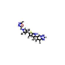 Cc1nnc(CN2C[C@@H]3C[C@H]2C[C@H]3c2sc3[nH]c(-c4cn5ncnc5c(C)c4C)c(C(C)C)c3c2C)o1